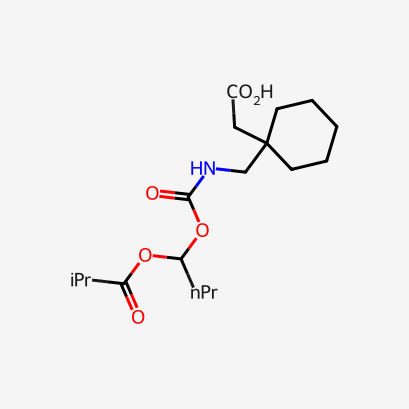 CCCC(OC(=O)NCC1(CC(=O)O)CCCCC1)OC(=O)C(C)C